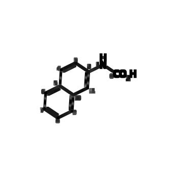 O=C(O)Nc1ccc2ccccc2c1